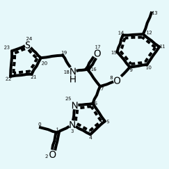 CC(=O)n1ccc(C(Oc2ccc(C)cc2)C(=O)NCc2cccs2)n1